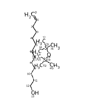 C=CCCCCCCCCCCCO.C[Si](C)(C)O[Si](C)(C)C